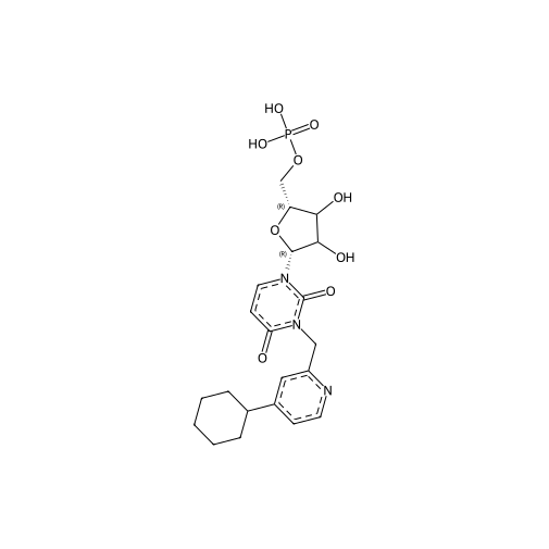 O=c1ccn([C@@H]2O[C@H](COP(=O)(O)O)C(O)C2O)c(=O)n1Cc1cc(C2CCCCC2)ccn1